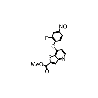 COC(=O)c1cc2nccc(Oc3ccc(N=O)cc3F)c2s1